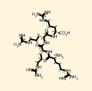 N=C(N)NCCC[C@@H](N)C(=O)N[C@H](CCCNC(=N)N)C(=O)N[C@H](CCCNC(=N)N)C(=O)N[C@H](CCCNC(=N)N)C(=O)O